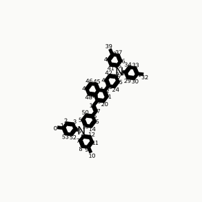 Cc1ccc(N(c2ccc(C)cc2)c2ccc(/C=C/c3ccc(-c4ccc(N(c5ccc(C)cc5)c5ccc(C)cc5)cc4)c4ccccc34)cc2)cc1